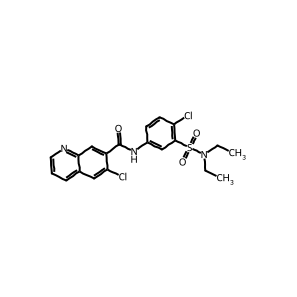 CCN(CC)S(=O)(=O)c1cc(NC(=O)c2cc3ncccc3cc2Cl)ccc1Cl